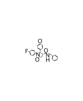 COc1ccc([C@H]2[C@@H](C(=O)NCc3ccccc3)CC(=O)N2c2ccc(F)cc2)cc1